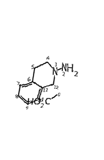 CC(=O)O.NN1CCc2ccccc2C1